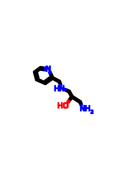 NCC(O)CNCc1ccccn1